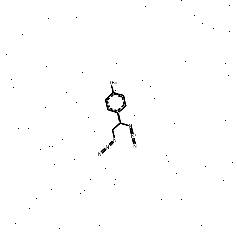 CC(C)(C)c1ccc(C(CN=[N+]=[N-])N=[N+]=[N-])cc1